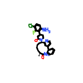 C[C@@H]1CCCC[C@H](N2CCC(c3c(N)ccc(Cl)c3F)=CC2=O)c2cc(ccn2)-c2ccccc2NC1=O